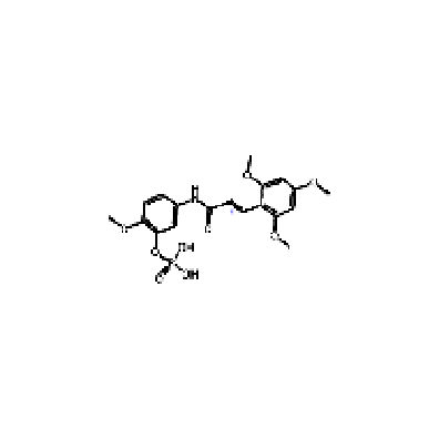 COc1cc(OC)c(/C=C/C(=O)Nc2ccc(OC)c(OP(=O)(O)O)c2)c(OC)c1